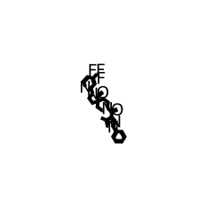 Cc1cn(-c2ccccc2)nc1C(=O)N1CCC2(CC1)CCN(c1cc(C(F)(F)F)ccn1)C2=O